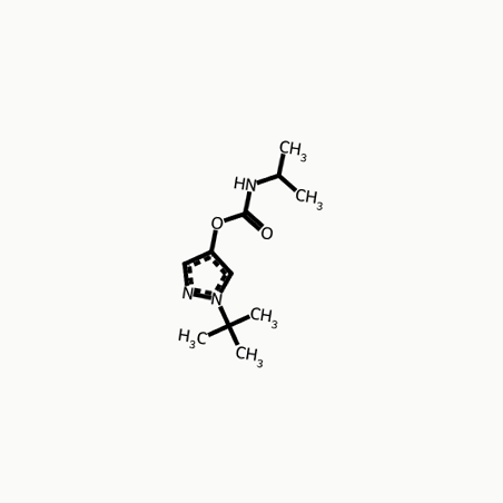 CC(C)NC(=O)Oc1cnn(C(C)(C)C)c1